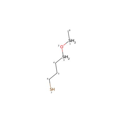 C[SiH2]O[SiH2]CCCS